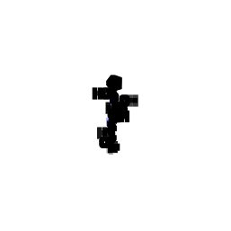 CN(C)C(=O)CNC/C=C1\C[C@H]2C[C@@H](O)[C@H](/C=C/[C@@H](O)C3CCCC3)[C@H]2C1